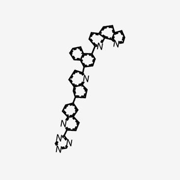 c1cnc2c(c1)ccc1ccc(-c3ccc(-c4ccc5cc(-c6ccc7nc(-c8ncncn8)ccc7c6)ccc5n4)c4ccccc34)nc12